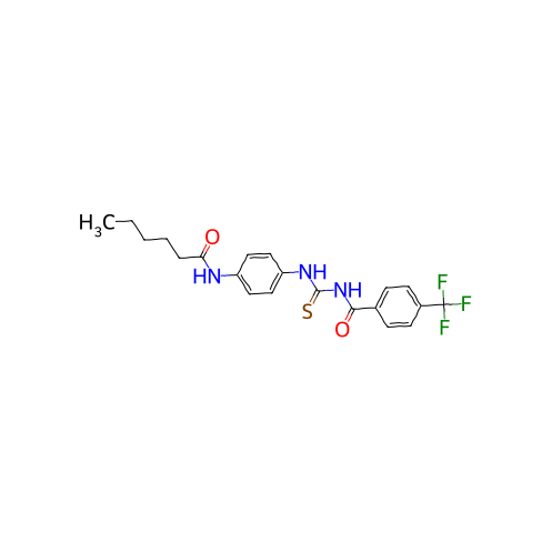 CCCCCC(=O)Nc1ccc(NC(=S)NC(=O)c2ccc(C(F)(F)F)cc2)cc1